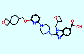 O=C(O)c1ccc2nc(CN3CCN(c4cccc(OCC5CCC6(CC5)COC6)n4)CC3)n(C[C@@H]3CCO3)c2c1